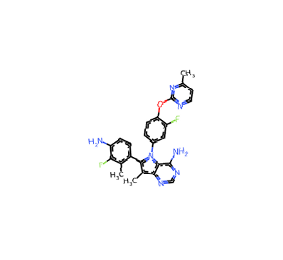 Cc1ccnc(Oc2ccc(-n3c(-c4ccc(N)c(F)c4C)c(C)c4ncnc(N)c43)cc2F)n1